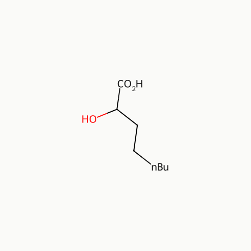 CCCCCCC(O)C(=O)O